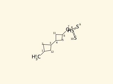 CC1CC(C2CC(O[SH](=S)=S)C2)C1